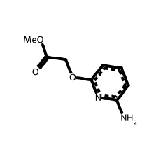 COC(=O)COc1cccc(N)n1